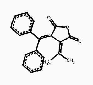 CC(C)=C1C(=O)OC(=O)C1=C(c1ccccc1)c1ccccc1